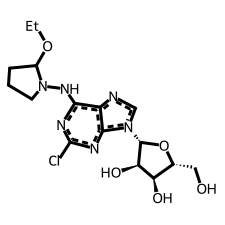 CCOC1CCCN1Nc1nc(Cl)nc2c1ncn2[C@@H]1O[C@H](CO)[C@@H](O)[C@H]1O